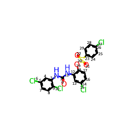 O=C(Nc1cc(Cl)ccc1Cl)Nc1cc(Cl)ccc1OS(=O)(=O)c1ccc(Cl)cc1